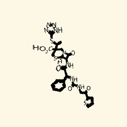 CC(Sc1nnn[nH]1)C1(C(=O)O)CS[C@@H]2C(NC(=O)C(NC(=O)NCC(=O)c3cccs3)c3ccccc3)C(=O)N2C1